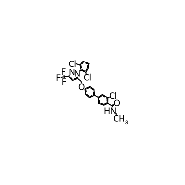 CCNC(=O)c1ccc(-c2ccc(OCc3cc(C(F)(F)F)nn3-c3c(Cl)cccc3Cl)cc2)cc1Cl